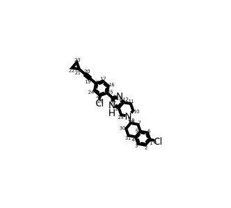 Clc1ccc2c(c1)C[C@H](N1CCc3nc(-c4ccc(C#CC5CC5)cc4Cl)[nH]c3C1)CC2